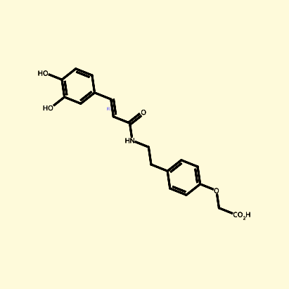 O=C(O)COc1ccc(CCNC(=O)/C=C/c2ccc(O)c(O)c2)cc1